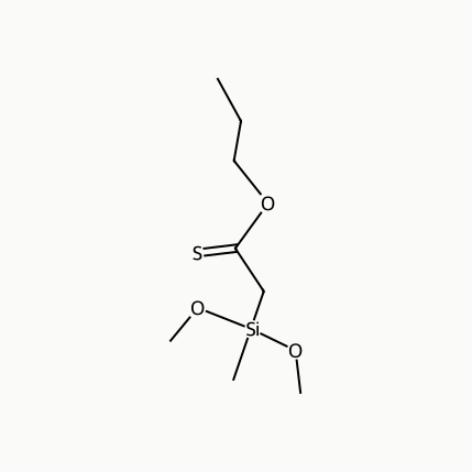 CCCOC(=S)C[Si](C)(OC)OC